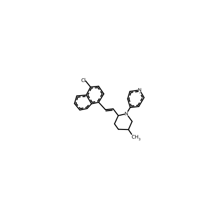 CC1CCC(C=Cc2ccc(Cl)c3ccccc23)N(c2ccncc2)C1